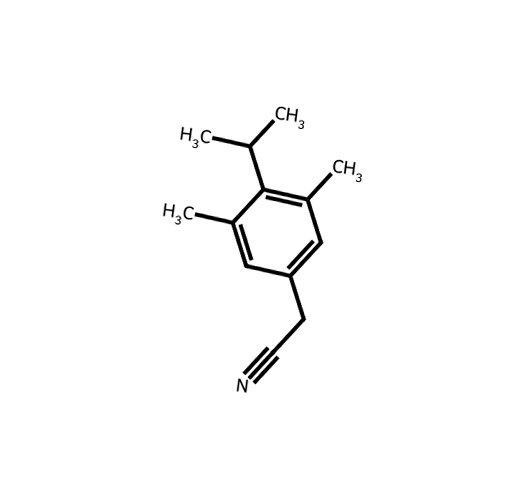 Cc1cc(CC#N)cc(C)c1C(C)C